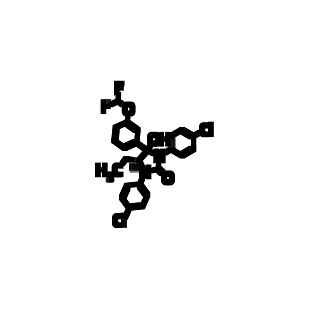 CC[C@@H]1N(c2ccc(Cl)cc2)C(=O)N(c2ccc(Cl)cc2)C1(O)c1cccc(OC(F)F)c1